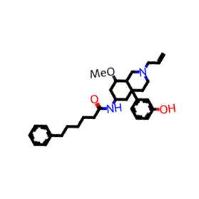 C=CCN1CCC2(c3cccc(O)c3)CC(NC(=O)CCCCCc3ccccc3)CC(OC)C2C1